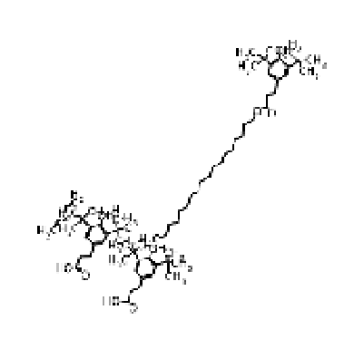 C=CSC=C.CC(C)(C)c1cc(CCC(=O)O)cc(C(C)(C)C)c1O.CC(C)(C)c1cc(CCC(=O)O)cc(C(C)(C)C)c1O.CCCCCCCCCCCCCCCCCCOC(=O)CCc1cc(C(C)(C)C)c(O)c(C(C)(C)C)c1